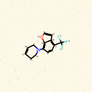 FC(F)(F)c1ccc(N2CC=CCC2)c2occc12